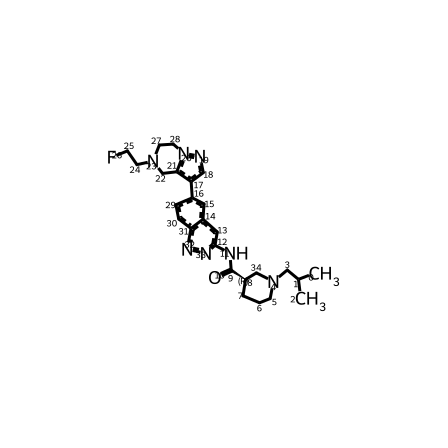 CC(C)CN1CCC[C@@H](C(=O)Nc2cc3cc(-c4cnn5c4CN(CCF)CC5)ccc3nn2)C1